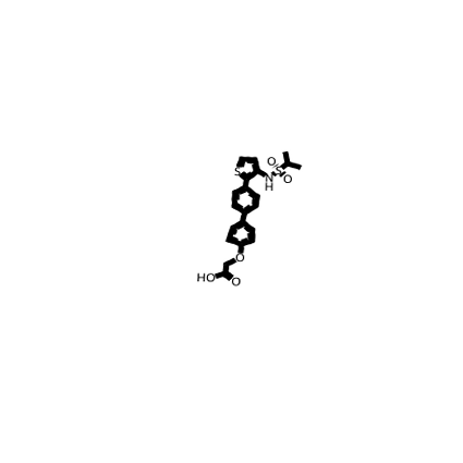 CC(C)S(=O)(=O)Nc1ccsc1-c1ccc(-c2ccc(OCC(=O)O)cc2)cc1